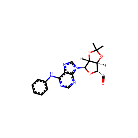 CC1(C)O[C@@H]2[C@@H](O1)[C@H](n1cnc3c(Nc4ccccc4)ncnc31)O[C@H]2C=O